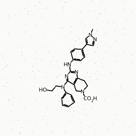 Cn1cc(-c2ccc(Nc3nc4c(c(N(CCO)c5ccccc5)n3)CN(C(=O)O)CC4)cc2)cn1